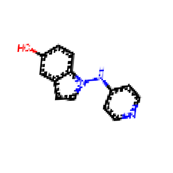 Oc1ccc2c(ccn2Nc2ccncc2)c1